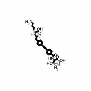 C[C@@H](O)[C@H](NC(=O)c1ccc(C#Cc2ccc(CC(=O)N[C@H](CCCCN)C(=O)O)cc2)cc1)C(=O)NO